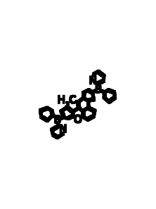 Cc1c2c3c(cccc3c3cc(B(c4ccccc4)c4ccccn4)ccc13)Oc1cc(B(c3ccccc3)c3ccccn3)ccc1-2